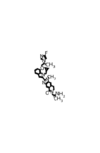 C[C@H](COc1cccc2cc(-c3nc4cc5c(cc4n3C)CCN(C[C@@H](C)N)C5=O)n(CC3CC3)c12)n1cnc(F)c1